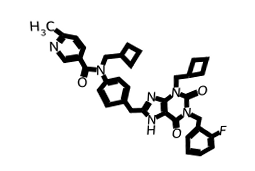 Cc1ccc(C(=O)N(CC2CCC2)c2ccc(Cc3nc4c([nH]3)c(=O)n(Cc3ccccc3F)c(=O)n4CC3CCC3)cc2)cn1